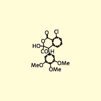 COc1cc(C2c3cccc(Cl)c3C(=O)OC2(O)C(=O)O)cc(OC)c1OC